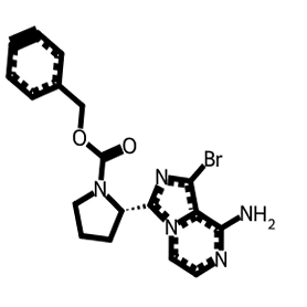 Nc1nccn2c([C@@H]3CCCN3C(=O)OCc3cc#ccc3)nc(Br)c12